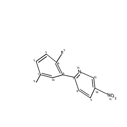 Cc1ccc(F)c(-c2ccc([N+](=O)[O-])cn2)c1